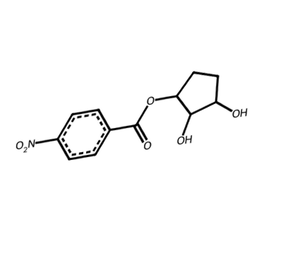 O=C(OC1CCC(O)C1O)c1ccc([N+](=O)[O-])cc1